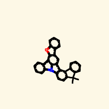 CC1(C)c2ccccc2-c2c1ccc1c2c2cc3c4ccccc4oc3c3c4ccccc4n1c23